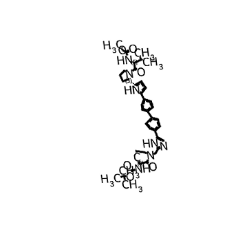 COC(=O)N[C@H](C(=O)N1CCC[C@H]1c1ccc(-c2ccc(-c3ccc(-c4cnc(CN5CCC[C@H](NC(=O)OC(C)(C)C)C5=O)[nH]4)cc3)cc2)[nH]1)C(C)C